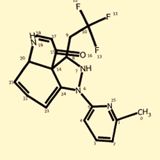 Cc1cccc(N2NC(CC(F)(F)F)C34C(=O)C=CNC3C=CC=C24)n1